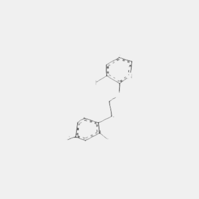 Fc1cc(Cl)ccc1CCOc1ncccc1I